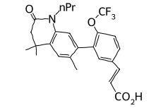 CCCN1C(=O)CC(C)(C)c2cc(C)c(-c3cc(C=CC(=O)O)ccc3OC(F)(F)F)cc21